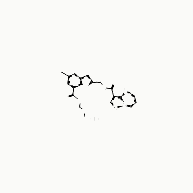 CCOC(=O)OCOC(=O)c1cc(Cl)cc2cc(CNC(=O)c3cnn4cccnc34)oc12